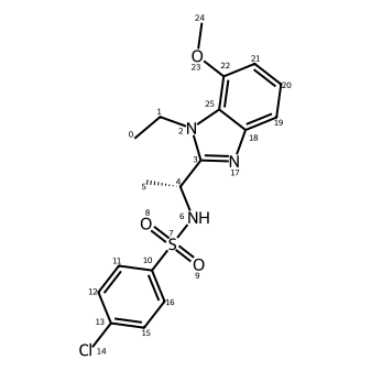 CCn1c([C@@H](C)NS(=O)(=O)c2ccc(Cl)cc2)nc2cccc(OC)c21